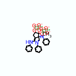 CN(c1ccccc1)C1(C=Nc2ccccc2)C(=CNc2ccccc2)CCC1(O[Cl+3]([O-])([O-])[O-])O[Cl+3]([O-])([O-])[O-]